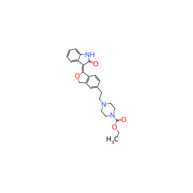 CCOC(=O)N1CCN(CCc2ccc3c(c2)CO/C3=C2/C(=O)Nc3ccccc32)CC1